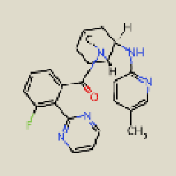 Cc1ccc(N[C@@H]2CC3CC[C@@H]2N(C(=O)c2cccc(F)c2-c2ncccn2)C3)nc1